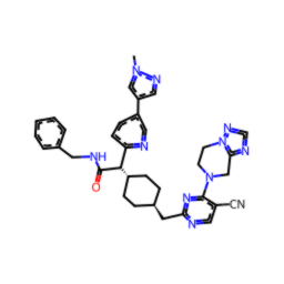 Cn1cc(-c2ccc(C(C(=O)NCc3ccccc3)[C@H]3CC[C@H](Cc4ncc(C#N)c(N5CCn6ncnc6C5)n4)CC3)nc2)cn1